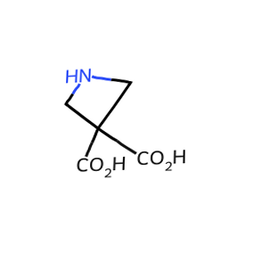 O=C(O)C1(C(=O)O)CNC1